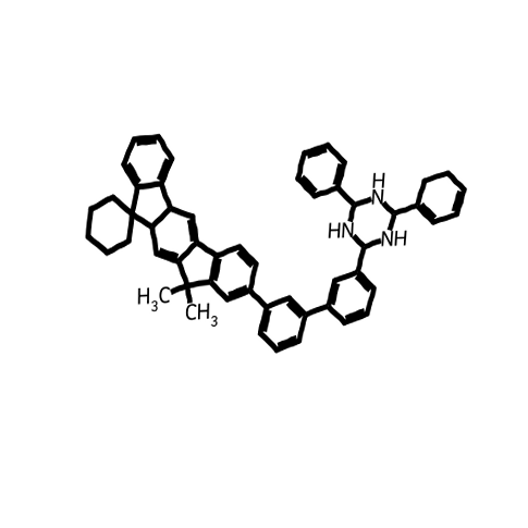 CC1(C)C2=CC3C(C=C2c2ccc(-c4cccc(-c5cccc(C6NC(C7=CC=CCC7)NC(c7ccccc7)N6)c5)c4)cc21)c1ccccc1C31CCCCC1